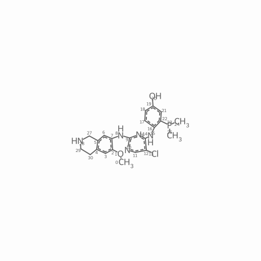 COc1cc2c(cc1Nc1ncc(Cl)c(Nc3ccc(O)cc3P(C)C)n1)CNCC2